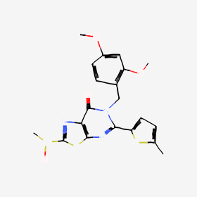 COc1ccc(Cn2c(-c3ccc(C)s3)nc3sc([S+](C)[O-])nc3c2=O)c(OC)c1